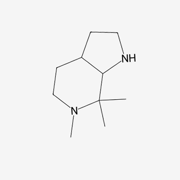 CN1CCC2CCNC2C1(C)C